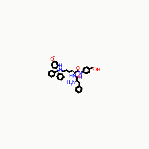 CO[C@@H]1C=C[C@H](C(NCCCC[C@H](NC(=O)[C@@H](N)Cc2ccccc2)C(=O)Nc2ccc(CO)cc2)(c2ccccc2)[C@H]2C=CC=CC2)CC1